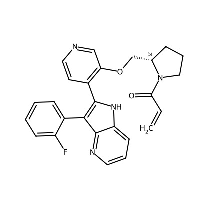 C=CC(=O)N1CCC[C@H]1COc1cnccc1-c1[nH]c2cccnc2c1-c1ccccc1F